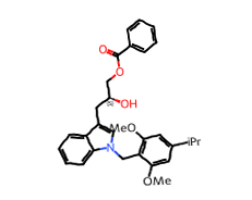 COc1cc(C(C)C)cc(OC)c1Cn1cc(C[C@H](O)COC(=O)c2ccccc2)c2ccccc21